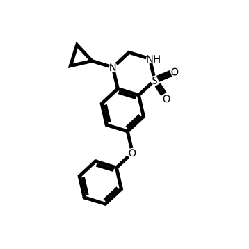 O=S1(=O)NCN(C2CC2)c2ccc(Oc3ccccc3)cc21